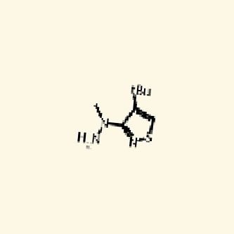 CN(N)c1nscc1C(C)(C)C